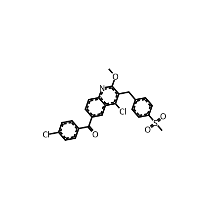 COc1nc2ccc(C(=O)c3ccc(Cl)cc3)cc2c(Cl)c1Cc1ccc(S(C)(=O)=O)cc1